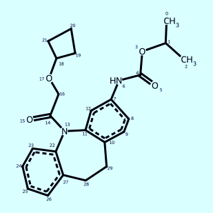 CC(C)OC(=O)Nc1ccc2c(c1)N(C(=O)COC1CCC1)c1ccccc1CC2